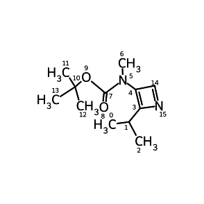 CC(C)C1=C(N(C)C(=O)OC(C)(C)C)C=N1